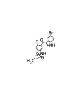 CCCS(=O)(=O)Nc1ccc(F)c(C(=O)c2c[nH]c3ccc(Br)cc23)c1